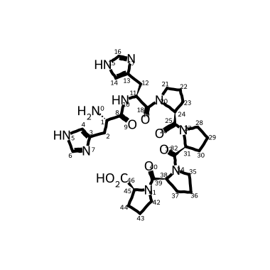 N[C@@H](Cc1c[nH]cn1)C(=O)N[C@@H](Cc1c[nH]cn1)C(=O)N1CCC[C@H]1C(=O)N1CCC[C@H]1C(=O)N1CCC[C@H]1C(=O)N1CCC[C@H]1C(=O)O